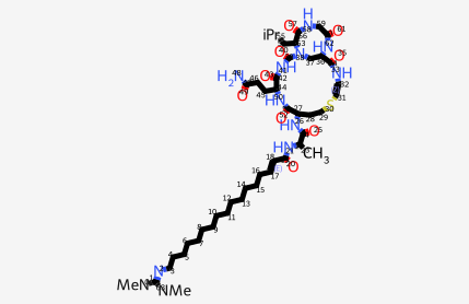 CNC(=NCCCCCCCCCCCCCC/C=C/C(=O)NC(C)C(=O)NC1CCS/C=C\NC(=O)C2CN(C(=O)NC(=O)C(CCC(N)=O)NC1=O)C(CC(C)C)C(=O)NCC(=O)N2)NC